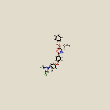 COC[C@H](NC(=O)c1ccc(Oc2ccc(N(CCCl)CCCl)c(C)c2)cc1)C(=O)OCc1ccccc1